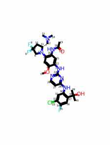 COc1cc(N2CC(F)(F)C[C@@H]2CN(C)C)c(NC(C)=O)cc1Nc1nccc(Nc2cc(Cl)c(F)cc2C(C)(C)O)n1